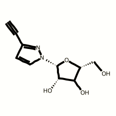 C#Cc1ccn([C@@H]2O[C@H](CO)C(O)[C@@H]2O)n1